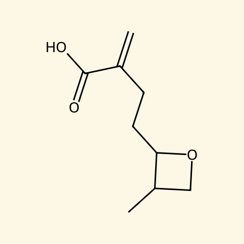 C=C(CCC1OCC1C)C(=O)O